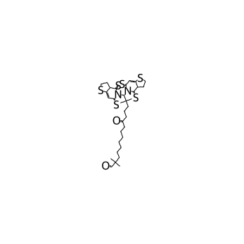 CC(C)(C=O)CCCCCCCC(=O)CCCC(C)(C)C(N1C(=S)C=C2SCCC2C1=S)N1C(=S)C=C2SCCC2C1=S